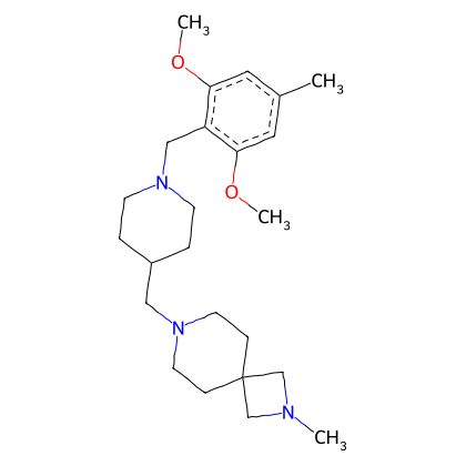 COc1cc(C)cc(OC)c1CN1CCC(CN2CCC3(CC2)CN(C)C3)CC1